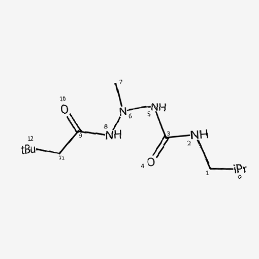 CC(C)CNC(=O)NN(C)NC(=O)CC(C)(C)C